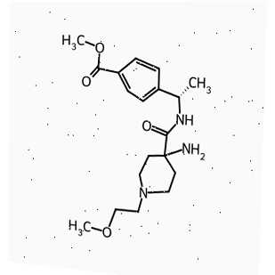 COCCN1CCC(N)(C(=O)N[C@@H](C)c2ccc(C(=O)OC)cc2)CC1